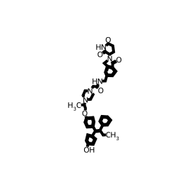 CCC(=C(c1ccc(O)cc1)c1ccc(OCC(C)N2CCN(CC(=O)NCc3ccc4c(c3)CN(C3CCC(=O)NC3=O)C4=O)CC2)cc1)c1ccccc1